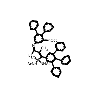 CCCCCCCCc1cc(N=C(CC)C(C)=[C](c2cc(-c3ccccc3)c(-c3ccccc3)c(-c3ccccc3)c2)[Pd]([CH2]C)([NH]C(C)=O)[NH]C(C)=O)cc(-c2ccccc2)c1-c1ccccc1